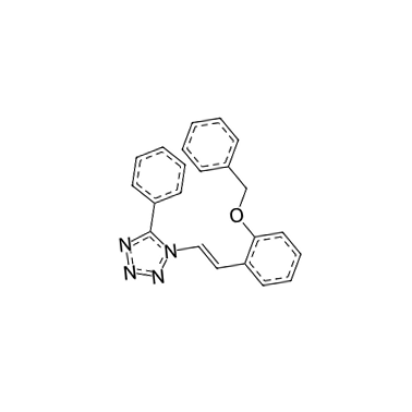 C(=C\n1nnnc1-c1ccccc1)/c1ccccc1OCc1ccccc1